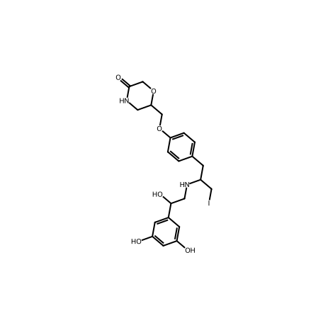 O=C1COC(COc2ccc(CC(CI)NCC(O)c3cc(O)cc(O)c3)cc2)CN1